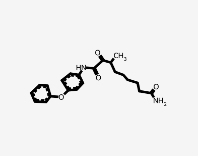 CC(CCCCCC(N)=O)C(=O)C(=O)Nc1ccc(Oc2ccccc2)cc1